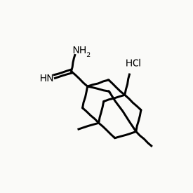 CC12CC3(C)CC(C)(C1)CC(C(=N)N)(C2)C3.Cl